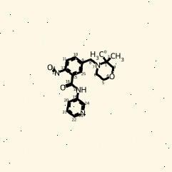 CC1(C)COCCN1Cc1ccc(N=O)c(C(=O)Nc2cccnc2)c1